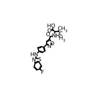 CC(C)C(NC(=O)c1cc(-c2ccc(Nc3nc4ccc(F)cc4s3)cc2)no1)C(=O)O